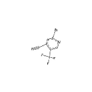 N#Cc1cc(Br)ncc1C(F)(F)F